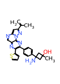 C=C(C)c1cc2ncc3nc(-c4cccs4)c(-c4ccc(C5(N)CC(C)(O)C5)cc4)nc3n2n1